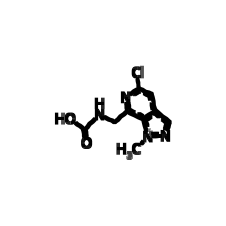 Cn1ncc2cc(Cl)nc(CNC(=O)O)c21